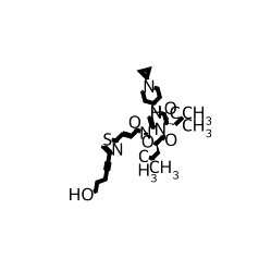 CC(C)C[C@H]1ON(C(=O)/C=C/c2nc(C#CCCCO)cs2)C2=CN(C3CCN(C4CC4)CC3)C(=O)[C@H](CC(C)(C)C)N2C1=O